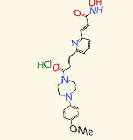 COc1ccc(N2CCN(C(=O)C=Cc3cccc(C=CC(=O)NO)n3)CC2)cc1.Cl